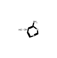 Cl.Cl.NC1=CC=CN=CO1